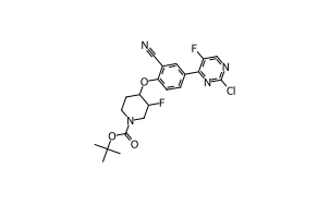 CC(C)(C)OC(=O)N1CCC(Oc2ccc(-c3nc(Cl)ncc3F)cc2C#N)C(F)C1